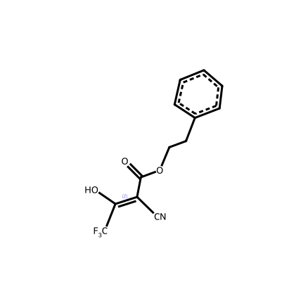 N#C/C(C(=O)OCCc1ccccc1)=C(/O)C(F)(F)F